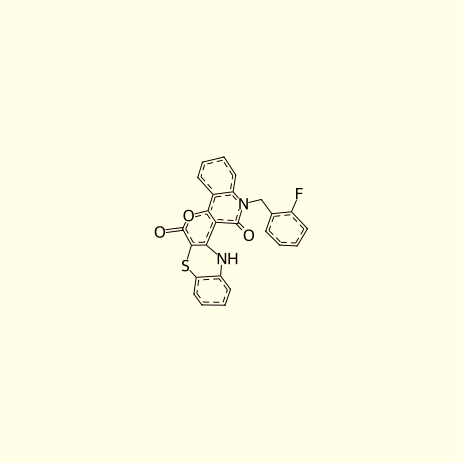 O=c1oc2c(c3c1Sc1ccccc1N3)c(=O)n(Cc1ccccc1F)c1ccccc21